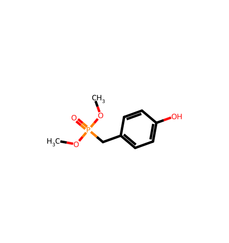 COP(=O)(Cc1ccc(O)cc1)OC